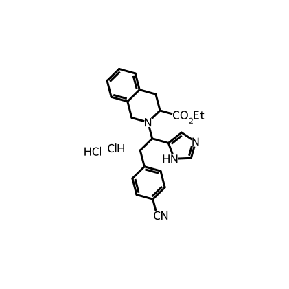 CCOC(=O)C1Cc2ccccc2CN1C(Cc1ccc(C#N)cc1)c1cnc[nH]1.Cl.Cl